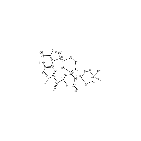 Cc1cc2[nH]c(=O)c3cnn(C4CCOCC4)c3c2cc1C(=O)N1CCN(C2CCC(F)(F)CC2)[C@@H](C)C1